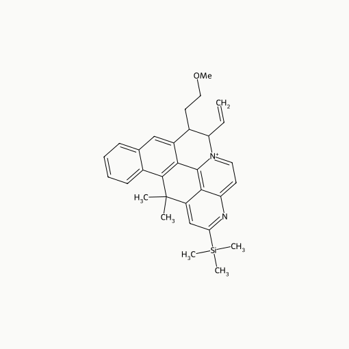 C=CC1C(CCOC)c2cc3ccccc3c3c2-c2c4c(cc([Si](C)(C)C)nc4cc[n+]21)C3(C)C